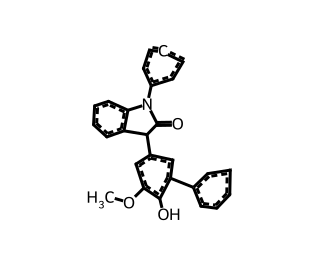 COc1cc(C2C(=O)N(c3ccccc3)c3ccccc32)cc(-c2ccccc2)c1O